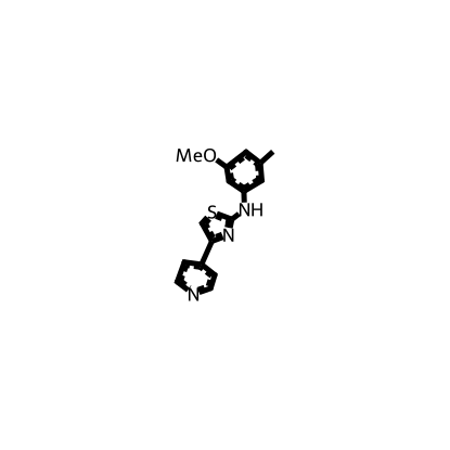 COc1cc(C)cc(Nc2nc(-c3ccncc3)cs2)c1